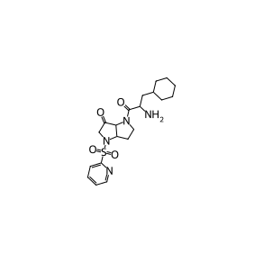 NC(CC1CCCCC1)C(=O)N1CCC2C1C(=O)CN2S(=O)(=O)c1ccccn1